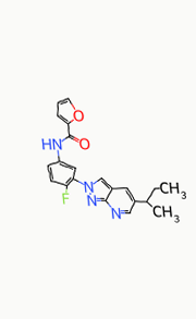 CCC(C)c1cnc2nn(-c3cc(NC(=O)c4ccco4)ccc3F)cc2c1